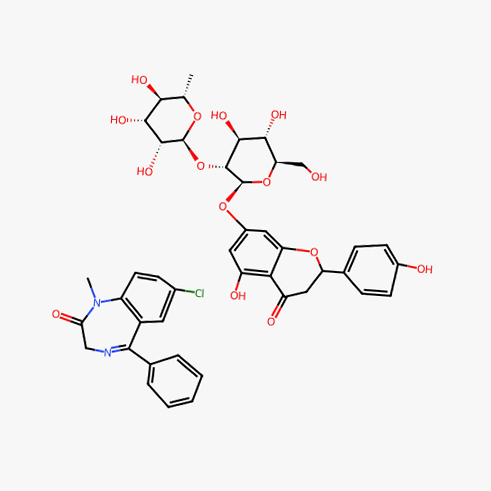 CN1C(=O)CN=C(c2ccccc2)c2cc(Cl)ccc21.C[C@@H]1O[C@@H](O[C@H]2[C@H](Oc3cc(O)c4c(c3)OC(c3ccc(O)cc3)CC4=O)O[C@H](CO)[C@@H](O)[C@@H]2O)[C@H](O)[C@H](O)[C@H]1O